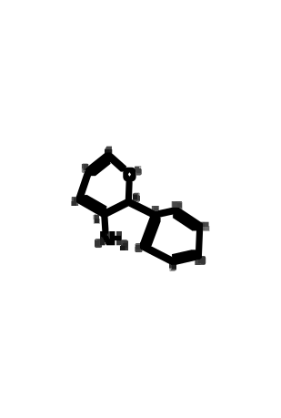 NC1=CC=COC1c1ccccc1